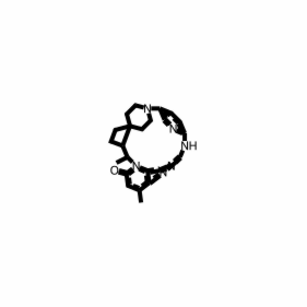 Cc1cc(=O)n2c3cnc(nc13)Nc1ccc(cn1)N1CCC3(CCC3C2C)CC1